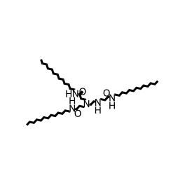 CCCCCCCCCCCCCNC(=O)CCNCCN(CCC(=O)NCCCCCCCCCCCCC)CCC(=O)NCCCCCCCCCCCCC